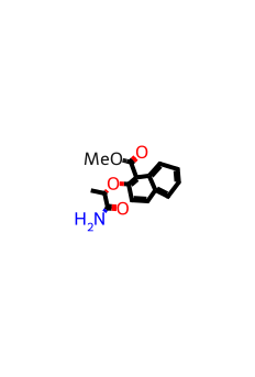 COC(=O)c1c(OC(C)C(N)=O)ccc2ccccc12